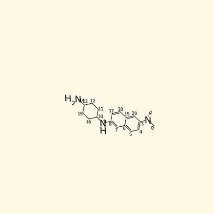 CN(C)c1ccc2cc(NC3CCC(N)CC3)ccc2c1